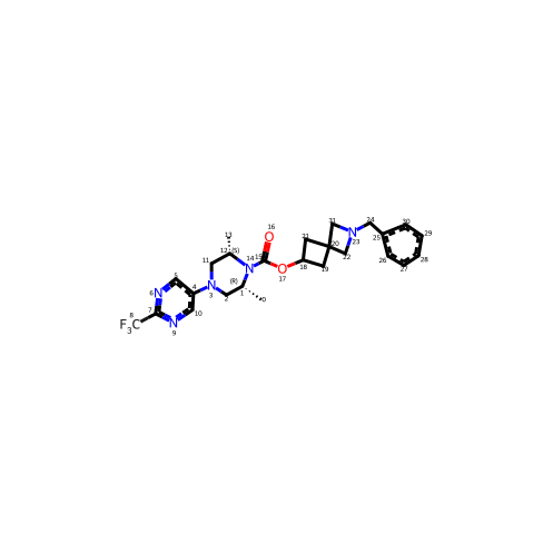 C[C@@H]1CN(c2cnc(C(F)(F)F)nc2)C[C@H](C)N1C(=O)OC1CC2(C1)CN(Cc1ccccc1)C2